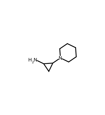 NC1CC1N1CCCCC1